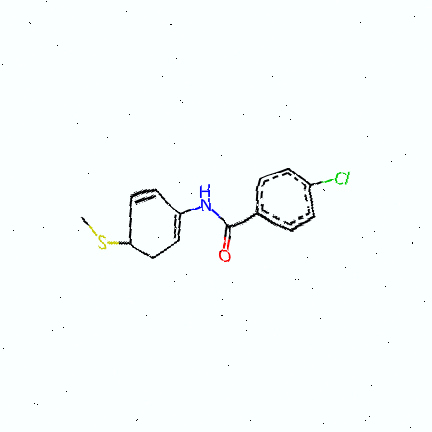 CSC1C=CC(NC(=O)c2ccc(Cl)cc2)=CC1